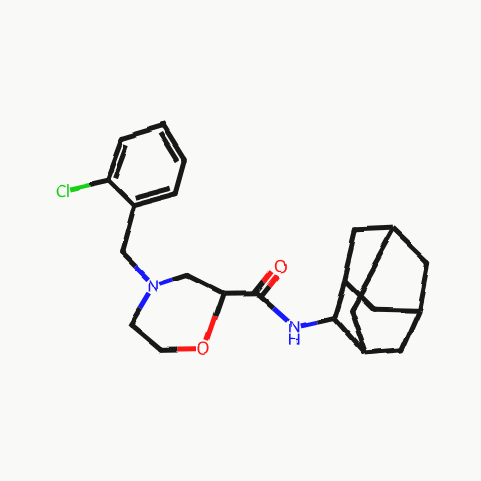 O=C(NC1C2CC3CC(C2)CC1C3)C1CN(Cc2ccccc2Cl)CCO1